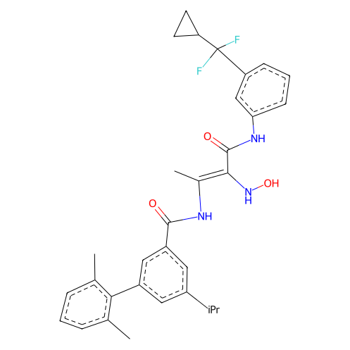 C/C(NC(=O)c1cc(-c2c(C)cccc2C)cc(C(C)C)c1)=C(/NO)C(=O)Nc1cccc(C(F)(F)C2CC2)c1